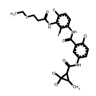 CCSCCC(=O)Nc1c(F)ccc(NC(=O)c2cc(NC(=O)C3C(C)C3(Cl)Cl)ccc2Cl)c1F